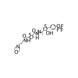 C/C(=N\NC(=O)c1ccc(C(=O)NCCCN2CCOCC2)s1)c1csc(-c2ccc(OC(F)(F)F)cc2)c1O